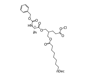 CCCCCCCCCCCCCCCCCC(=O)OCC(CCC(=O)OCl)COC(=O)[C@@H](NC(=O)OCc1ccccc1)C(C)C